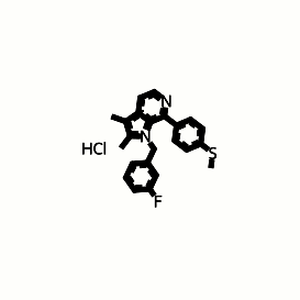 CSc1ccc(-c2nccc3c(C)c(C)n(Cc4cccc(F)c4)c23)cc1.Cl